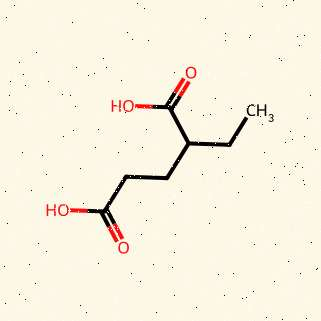 CCC(CCC(=O)O)C(=O)O